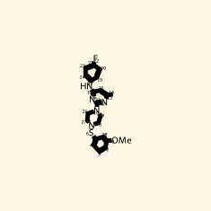 COc1cccc(SN2CCN(c3nc(C)cc(Nc4ccc(F)cc4)n3)CC2)c1